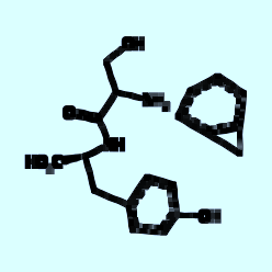 NC(CO)C(=O)N[C@@H](Cc1ccc(O)cc1)C(=O)O.c1ccc2c(c1)C2